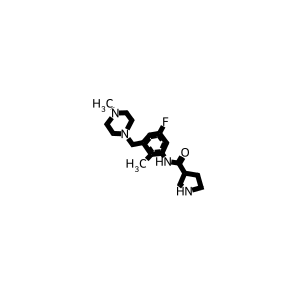 Cc1c(CN2CCN(C)CC2)cc(F)cc1NC(=O)C1CCNC1